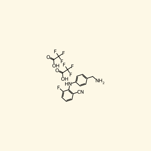 N#Cc1cccc(F)c1Nc1ccc(CN)cc1.O=C(O)C(F)(F)F.O=C(O)C(F)(F)F